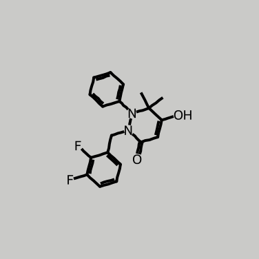 CC1(C)C(O)=CC(=O)N(Cc2cccc(F)c2F)N1c1ccccc1